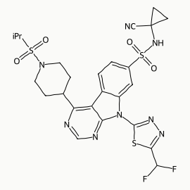 CC(C)S(=O)(=O)N1CCC(c2ncnc3c2c2ccc(S(=O)(=O)NC4(C#N)CC4)cc2n3-c2nnc(C(F)F)s2)CC1